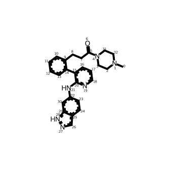 CN1CCN(C(=O)CCc2c[c]ccc2-c2cccnc2Nc2ccc3cn[nH]c3c2)CC1